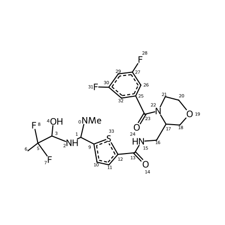 CNC(NC(O)C(C)(F)F)c1ccc(C(=O)NCC2COCCN2C(=O)c2cc(F)cc(F)c2)s1